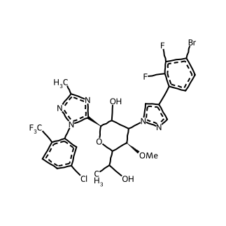 CO[C@H]1C(C(C)O)O[C@@H](c2nc(C)nn2-c2cc(Cl)ccc2C(F)(F)F)C(O)C1n1cc(-c2ccc(Br)c(F)c2F)cn1